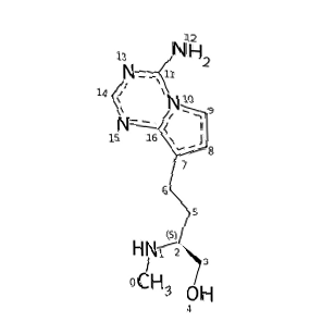 CN[C@H](CO)CCc1ccn2c(N)ncnc12